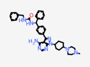 CN1CCN(C2CCC(n3nc(-c4ccc([C@@H](NC(=O)NCc5ccccc5)c5ccccc5)cc4)c4c(N)ncnc43)CC2)CC1